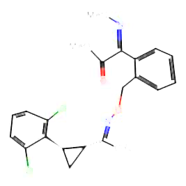 CO/N=C(\C(=O)OC)c1ccccc1CO/N=C(\C)[C@@H]1C[C@H]1c1c(Cl)cccc1Cl